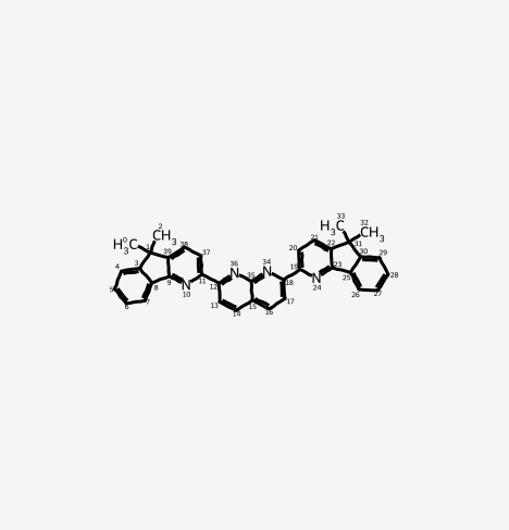 CC1(C)c2ccccc2-c2nc(-c3ccc4ccc(-c5ccc6c(n5)-c5ccccc5C6(C)C)nc4n3)ccc21